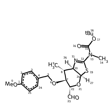 COc1ccc(CO[C@H]2[C@H](C)[C@H]3N=C(N(C)C(=O)OC(C)(C)C)S[C@H]3O[C@@H]2C=O)cc1